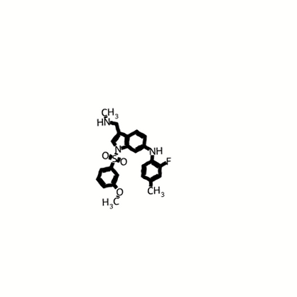 CNCc1cn(S(=O)(=O)c2cccc(OC)c2)c2cc(Nc3ccc(C)cc3F)ccc12